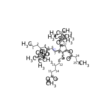 CCCCC[C@@H](/C=C/[C@@H]1C(SCCCCCC(=O)OC)=C(OC(=O)CCC)C[C@H]1O[Si](C)(C)C(C)(C)C)O[Si](C)(C)C(C)(C)C